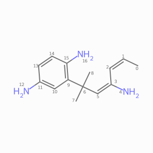 C/C=C\C(N)=C/C(C)(C)c1cc(N)ccc1N